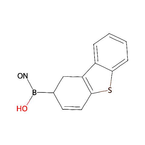 O=NB(O)C1C=Cc2sc3ccccc3c2C1